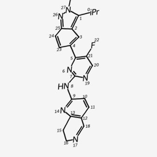 CC(C)c1c2cc(-c3nc(Nc4ccc5c(n4)CCN=C5)ncc3F)ccc2nn1C